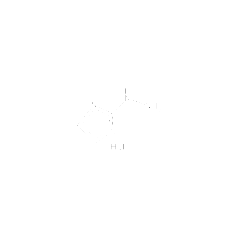 Cl.NNc1nccs1